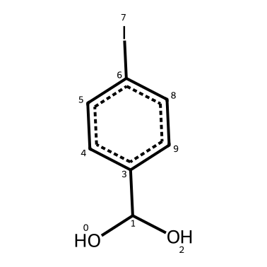 OC(O)c1ccc(I)cc1